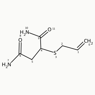 C=CCSC(CC(N)=O)C(N)=O